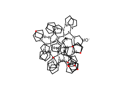 C1CCN(N(N2CCCC2)P(=N[P+](N=P(N(N2CCCC2)N2CCCC2)(N(N2CCCC2)N2CCCC2)N(N2CCCC2)N2CCCC2)(N=P(N(N2CCCC2)N2CCCC2)(N(N2CCCC2)N2CCCC2)N(N2CCCC2)N2CCCC2)N=P(N(N2CCCC2)N2CCCC2)(N(N2CCCC2)N2CCCC2)N(N2CCCC2)N2CCCC2)(N(N2CCCC2)N2CCCC2)N(N2CCCC2)N2CCCC2)C1.[OH-]